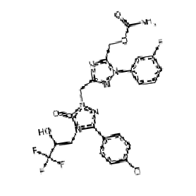 NC(=O)OCc1nc(Cn2nc(-c3ccc(Cl)cc3)n(CC(O)C(F)(F)F)c2=O)nn1-c1cccc(F)c1